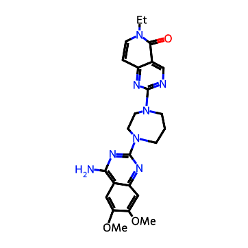 CCn1ccc2nc(N3CCCN(c4nc(N)c5cc(OC)c(OC)cc5n4)CC3)ncc2c1=O